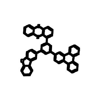 c1ccc2c(c1)Sc1cccc(-c3cc(-c4ccc5oc6ccccc6c5c4)cc(-c4ccc5c6ccccc6c6ccccc6c5c4)c3)c1S2